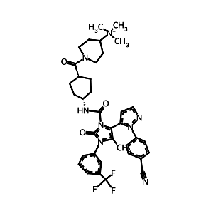 Cc1c(-c2ccnn2-c2ccc(C#N)cc2)n(C(=O)N[C@H]2CC[C@H](C(=O)N3CCC([N+](C)(C)C)CC3)CC2)c(=O)n1-c1cccc(C(F)(F)F)c1